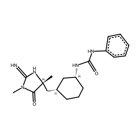 CN1C(=N)N[C@](C)(C[C@H]2CCC[C@@H](NC(=O)Nc3ccccc3)C2)C1=O